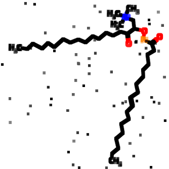 CCCCCCCCC=CCCCCCCCC(=O)[P-]OC(C[N+](C)(C)C)C(=O)CCCCCCCCCCCCCCC